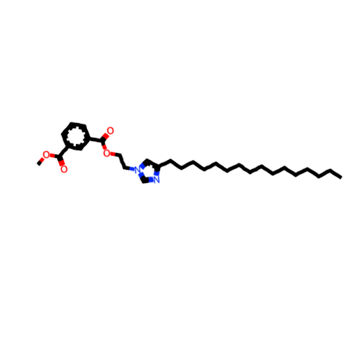 CCCCCCCCCCCCCCCCc1cn(CCOC(=O)c2cccc(C(=O)OC)c2)cn1